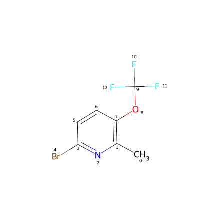 Cc1nc(Br)ccc1OC(F)(F)F